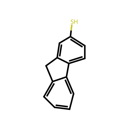 Sc1ccc2c(c1)Cc1ccccc1-2